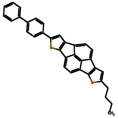 CCCCc1cc2c(s1)-c1ccc3c4c(ccc-2c14)-c1cc(-c2ccc(-c4ccccc4)cc2)sc1-3